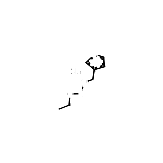 CCOSOCc1ccsc1.[NaH]